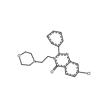 O=c1c2ccc(Cl)cc2nc(-c2ccccc2)n1CCN1CCOCC1